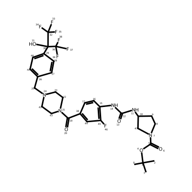 CC(C)(C)OC(=O)N1CCC(NC(=O)Nc2ccc(C(=O)N3CCN(Cc4ccc(C(O)(C(F)(F)F)C(F)(F)F)cc4)CC3)cc2F)C1